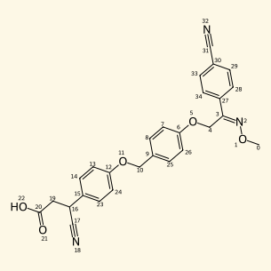 CO/N=C(\COc1ccc(COc2ccc(C(C#N)CC(=O)O)cc2)cc1)c1ccc(C#N)cc1